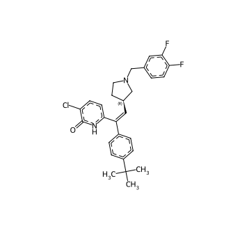 CC(C)(C)c1ccc(C(=C[C@H]2CCN(Cc3ccc(F)c(F)c3)C2)c2ccc(Cl)c(=O)[nH]2)cc1